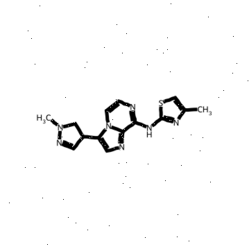 Cc1csc(Nc2nccn3c(C4C=NN(C)C4)cnc23)n1